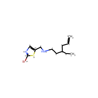 C=CCC(CC)CCNCc1cnc(Br)s1